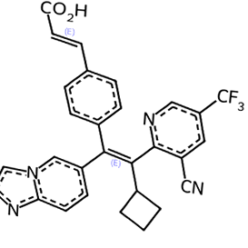 N#Cc1cc(C(F)(F)F)cnc1/C(=C(\c1ccc(/C=C/C(=O)O)cc1)c1ccc2nccn2c1)C1CCC1